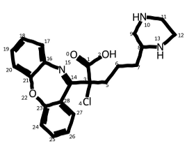 O=C(O)C(Cl)(CCCC1CNCCN1)C1=Nc2ccccc2Oc2ccccc21